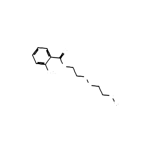 CC(=O)Oc1ccccc1C(=O)OCCSSCCON=O